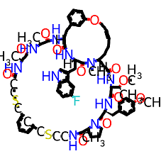 COc1ccc(C[C@@H]2NC(=O)[C@H]([C@@H](C)OC)NC(=O)[C@@H]3CC/C=C\COc4cccc(c4)C[C@H](NC(=O)[C@@H](C)NC(=O)[C@H](C)NC(=O)CCSCc4cccc(c4)CSCCNC(=O)[C@]4(C)CCCN4C2=O)C(=O)N[C@@H](Cc2c[nH]c4ccc(F)cc24)C(=O)N3C)cc1